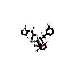 O=C1NCC[C@H]1C[C@@H](NC(=O)[C@@H]1[C@H]2CC[C@H](CC2(F)F)N1C(=O)C(F)(F)c1cccc(Cl)c1)C(=O)CF